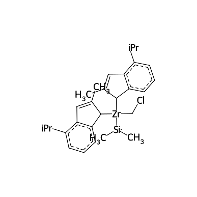 CC1=Cc2c(C(C)C)cccc2[CH]1[Zr]([CH2]Cl)([CH]1C(C)=Cc2c(C(C)C)cccc21)[Si](C)C